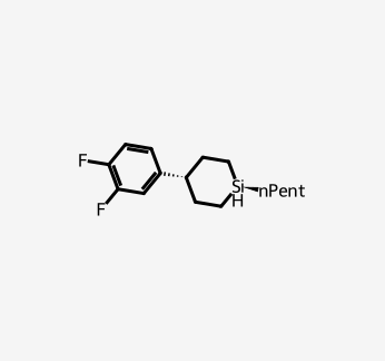 CCCCC[Si@H]1CC[C@H](c2ccc(F)c(F)c2)CC1